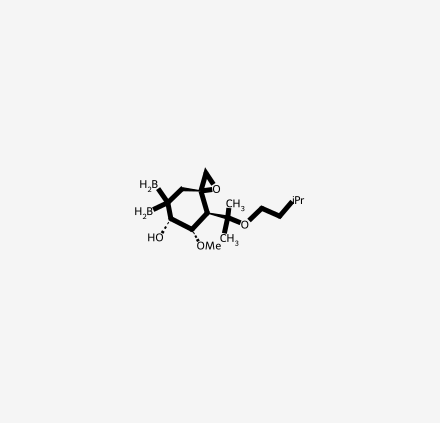 BC1(B)C[C@]2(CO2)[C@@H](C(C)(C)OCCC(C)C)[C@H](OC)[C@@H]1O